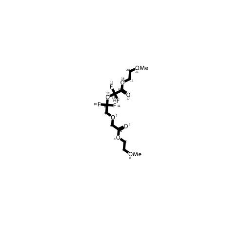 COCCOC(=O)COCC(F)(F)OC(F)(F)C(=O)OCCOC